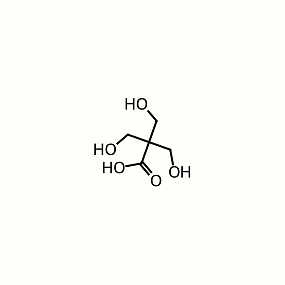 O=C(O)C(CO)(CO)CO